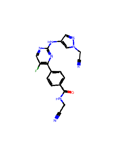 N#CCNC(=O)c1ccc(-c2nc(Nc3cnn(CC#N)c3)ncc2F)cc1